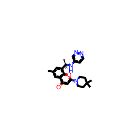 Cc1cc([C@@H](C)Nc2ccnnc2)c2oc(N3CCC(C)(C)CC3)cc(=O)c2c1